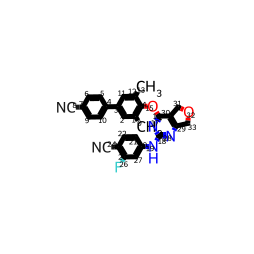 Cc1cc(-c2ccc(C#N)cc2)cc(C)c1Oc1nc(Nc2ccc(C#N)c(F)c2)nc2c1COC2